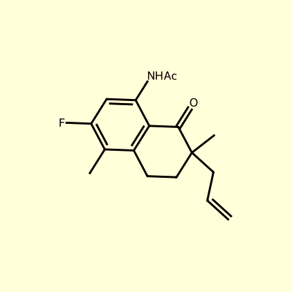 C=CCC1(C)CCc2c(C)c(F)cc(NC(C)=O)c2C1=O